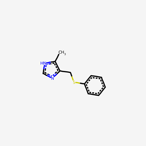 Cc1[nH]cnc1CSc1ccccc1